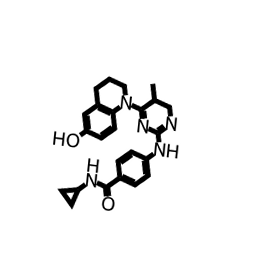 CC1CN=C(Nc2ccc(C(=O)NC3CC3)cc2)N=C1N1CCCc2cc(O)ccc21